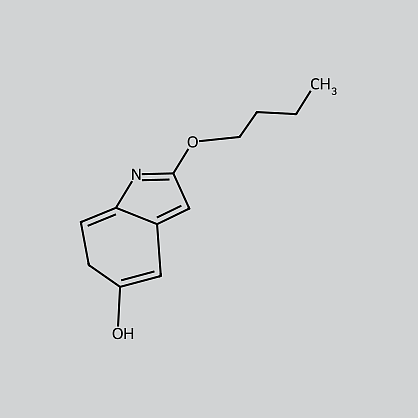 CCCCOC1=NC2=CCC(O)=CC2=C1